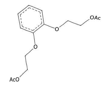 CC(=O)OCCOc1ccccc1OCCOC(C)=O